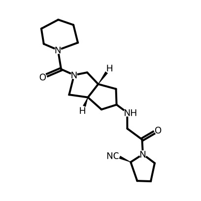 N#C[C@@H]1CCCN1C(=O)CNC1C[C@@H]2CN(C(=O)N3CCCCC3)C[C@@H]2C1